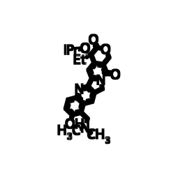 CC[C@@]1(OC(C)C)C(=O)OCc2c1cc1n(c2=O)Cc2cc3c(CN(C)C)c(O)ccc3nc2-1